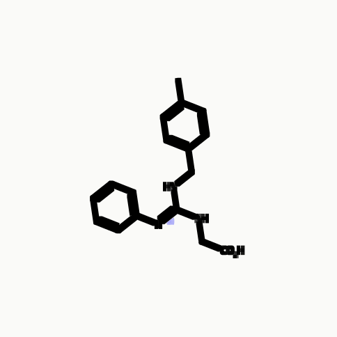 Cc1ccc(CN/C(=N\c2ccccc2)NCC(=O)O)cc1